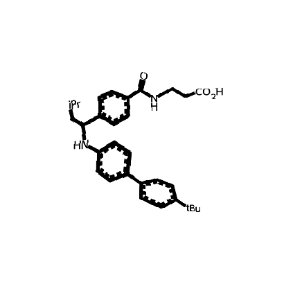 CC(C)CC(Nc1ccc(-c2ccc(C(C)(C)C)cc2)cc1)c1ccc(C(=O)NCCC(=O)O)cc1